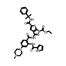 CCOC(=O)n1nc(NC(=O)c2ccc(N3CCN(C)CC3)cc2NC(=O)c2ccc[nH]2)c2cc(C(=O)NC(C)(C)c3ccccc3)sc21